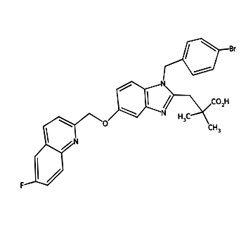 CC(C)(Cc1nc2cc(OCc3ccc4cc(F)ccc4n3)ccc2n1Cc1ccc(Br)cc1)C(=O)O